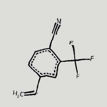 C=[C]c1ccc(C#N)c(C(F)(F)F)c1